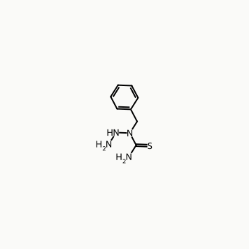 NNN(Cc1ccccc1)C(N)=S